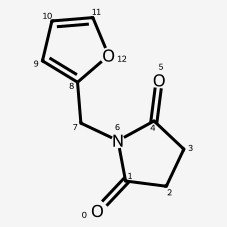 O=C1CCC(=O)N1Cc1ccco1